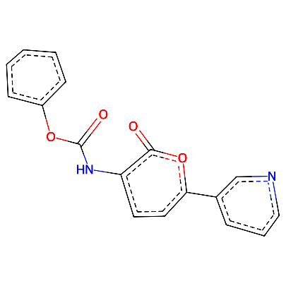 O=C(Nc1ccc(-c2cccnc2)oc1=O)Oc1ccccc1